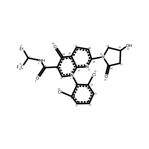 CCC(NC(=O)c1cn(-c2c(Cl)cccc2Cl)c2nc(N3CC(O)CC3=O)ccc2c1=O)C(F)(F)F